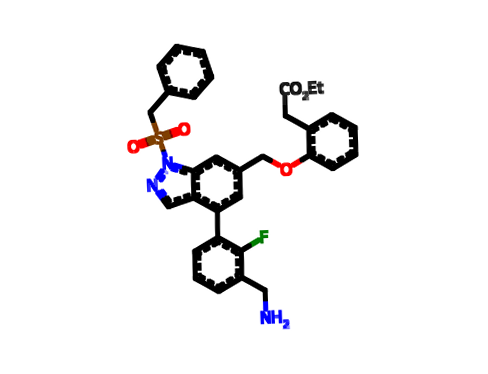 CCOC(=O)Cc1ccccc1OCc1cc(-c2cccc(CN)c2F)c2cnn(S(=O)(=O)Cc3ccccc3)c2c1